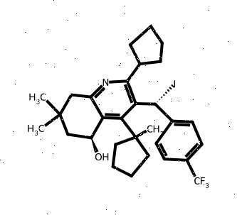 CC1(C)Cc2nc(C3CCCC3)c([C@H](I)c3ccc(C(F)(F)F)cc3)c(C3(C)CCCC3)c2[C@@H](O)C1